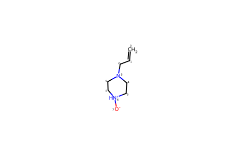 C=CCN1CC[NH+]([O-])CC1